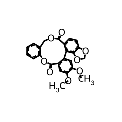 COc1cc2c(cc1OC)-c1c(ccc3c1OCO3)C(=O)OCc1ccccc1OC2=O